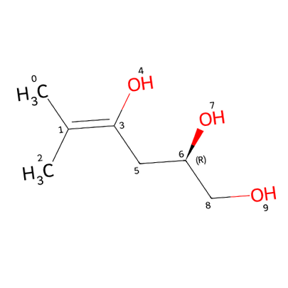 CC(C)=C(O)C[C@@H](O)CO